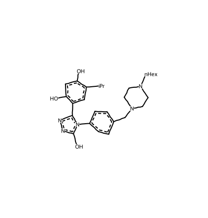 CCCCCCN1CCN(Cc2ccc(-n3c(O)nnc3-c3cc(C(C)C)c(O)cc3O)cc2)CC1